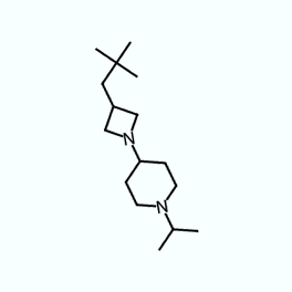 CC(C)N1CCC(N2CC(CC(C)(C)C)C2)CC1